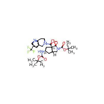 CC(C)(C)OC(=O)N[C@@H]1C[C@H]2CN(C(=O)OC(C)(C)C)C(=O)[C@@]2(C(=O)N2CCc3ncc(C(F)(F)F)cc3C2)C1